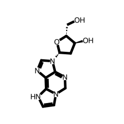 OC[C@H]1O[C@@H](n2cnc3c2=NCN2C=CNC=32)C[C@@H]1O